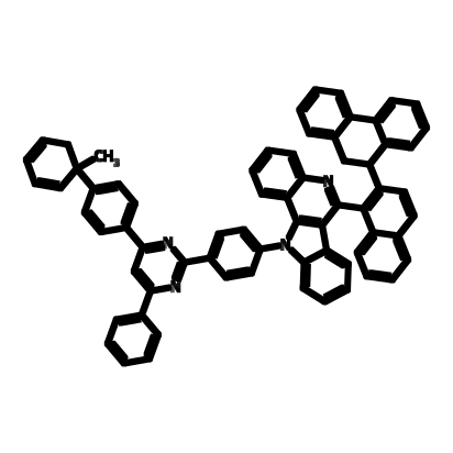 CC1(c2ccc(-c3cc(-c4ccccc4)nc(-c4ccc(-n5c6ccccc6c6c(-c7c(C8Cc9ccccc9-c9ccccc98)ccc8ccccc78)nc7ccccc7c65)cc4)n3)cc2)C=CC=CC1